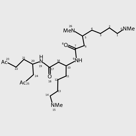 CNCCCCC(CC(=O)NC(CCCCNC)CC(=O)NC(CCC(C)=O)CC(C)=O)NC